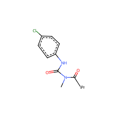 CC(C)C(=O)N(C)C(=O)Nc1ccc(Cl)cc1